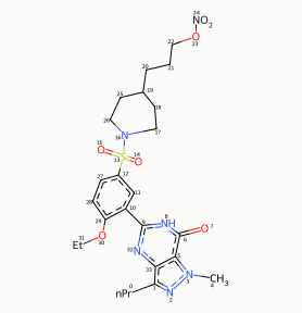 CCCc1nn(C)c2c(=O)[nH]c(-c3cc(S(=O)(=O)N4CCC(CCCO[N+](=O)[O-])CC4)ccc3OCC)nc12